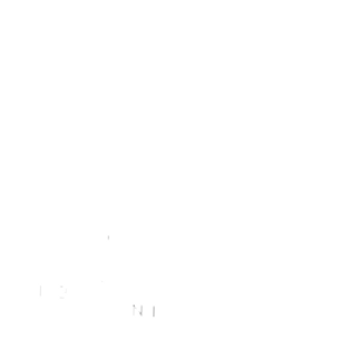 BC(=N)OCCCCCCC